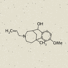 C=CCN1CCC2(C)CC(C1)C(O)c1ccc(OC)cc12